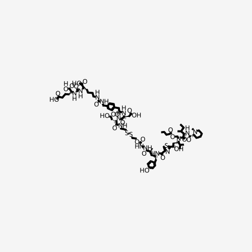 CCCC(=O)OCN(C(=O)[C@@H](NC(=O)[C@H]1CCCCN1C)C(C)CC)[C@H](C[C@@H](O)c1nc(C(=O)N[C@@H](Cc2ccc(O)cc2)C[C@H](C)C(=O)NNC(=O)OCCSSCCNC(=O)[C@H](CC(=O)O)NC(=O)[C@H](CC(=O)O)NC(=O)Cc2ccc(CNC(=O)NCCCC[C@@H](NC(=O)N[C@@H](CCCC(=O)O)C(=O)O)C(=O)O)cc2)cs1)C(C)C